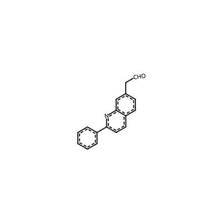 O=CCc1ccc2ccc(-c3ccccc3)nc2c1